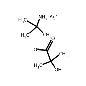 CC(C)(C)N.CC(C)(O)C(=O)[O-].[Ag+]